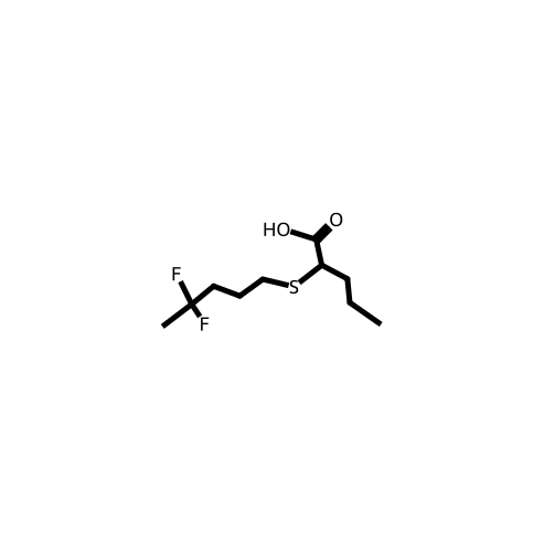 CCCC(SCCCC(C)(F)F)C(=O)O